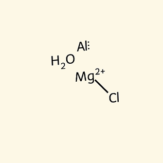 O.[Al].[Mg+2][Cl]